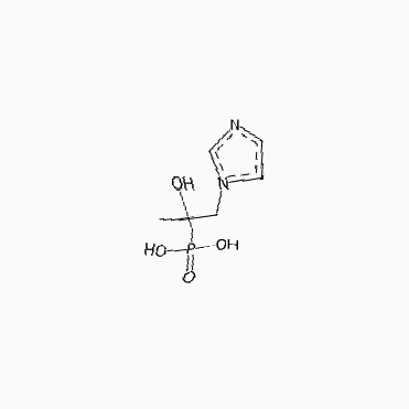 CC(O)(Cn1ccnc1)P(=O)(O)O